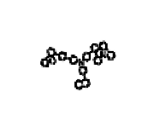 c1ccc(-c2ccccc2-n2c3ccccc3c3ccccc32)c(-c2ccc(N(c3ccc(-c4ccc(-c5cccc6c5oc5ccccc56)cc4)cc3)c3ccc(-c4cccc5ccccc45)cc3)cc2)c1